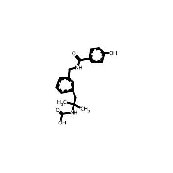 CC(C)(Cc1cccc(CNC(=O)c2ccc(O)cc2)c1)NC(=O)O